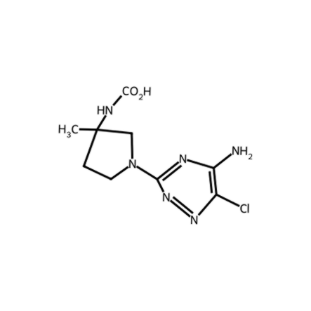 CC1(NC(=O)O)CCN(c2nnc(Cl)c(N)n2)C1